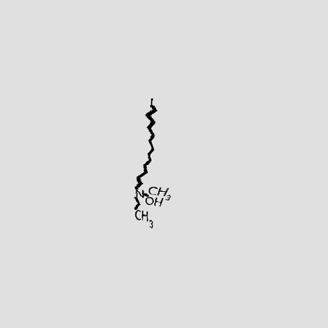 CCCCN(CCCCCCCCCCCCCCI)C(C)O